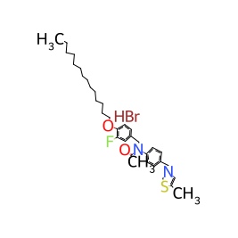 Br.CCCCCCCCCCCCCCOc1ccc(CN(C(C)=O)c2ccc(CN3C=C(C)SC3)cc2)cc1F